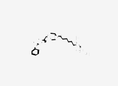 CC(C)(C)OC(=O)NCCCCCC(=O)N1CCN(CC(=O)Nc2nc3ccccc3s2)CC1